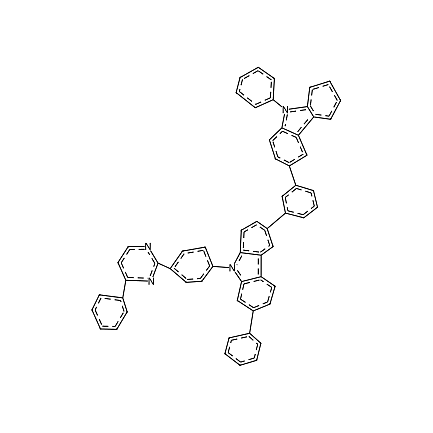 c1ccc(-c2ccc3c4cc(-c5cccc(-c6ccc7c(c6)c6ccccc6n7-c6ccccc6)c5)ccc4n(-c4ccc(-c5nccc(-c6ccccc6)n5)cc4)c3c2)cc1